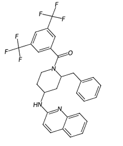 O=C(c1cc(C(F)(F)F)cc(C(F)(F)F)c1)N1CCC(Nc2ccc3ccccc3n2)CC1Cc1ccccc1